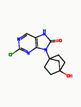 O=c1[nH]c2cnc(Cl)nc2n1C12CCC(O)(CC1)C2